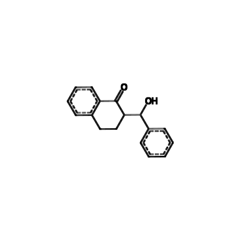 O=C1c2ccccc2CCC1C(O)c1ccccc1